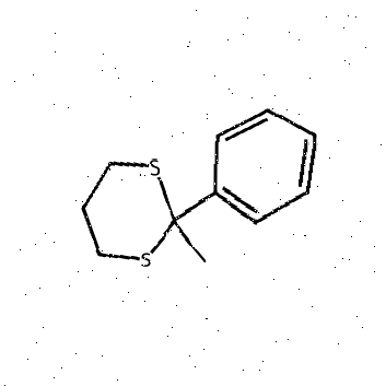 CC1(c2ccccc2)SCCCS1